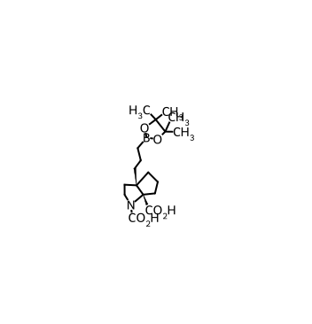 CC1(C)OB(CCC[C@@]23CCC[C@]2(C(=O)O)N(C(=O)O)CC3)OC1(C)C